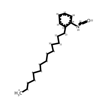 CCCCCCCCCCCCC[CH]c1ccccc1N=C=O